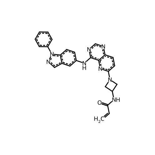 C=CC(=O)NC1CN(c2ccc3ncnc(Nc4ccc5c(cnn5-c5ccccc5)c4)c3n2)C1